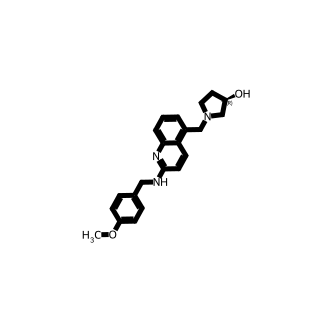 COc1ccc(CNc2ccc3c(CN4CC[C@@H](O)C4)cccc3n2)cc1